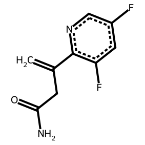 C=C(CC(N)=O)c1ncc(F)cc1F